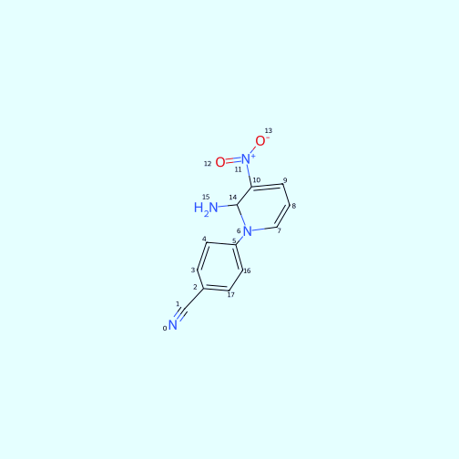 N#Cc1ccc(N2C=CC=C([N+](=O)[O-])C2N)cc1